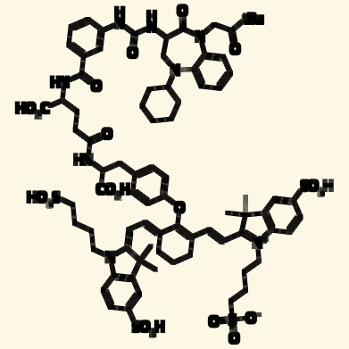 CC(C)(C)C(=O)CN1C(=O)C(NC(=O)Nc2cccc(C(=O)NC(CCC(=O)NC(Cc3ccc(OC4=C(C=CC5=[N+](CCCCS(=O)(=O)[O-])c6ccc(S(=O)(=O)O)cc6C5(C)C)CCCC4=CC=C4N(CCCCS(=O)(=O)O)c5ccc(S(=O)(=O)O)cc5C4(C)C)cc3)C(=O)O)C(=O)O)c2)CN(C2CCCCC2)c2ccccc21